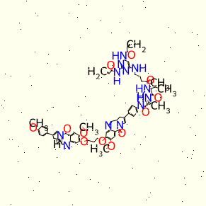 C=CC(=O)Nc1cc(NCCCC(=O)NC(C(=O)N[C@@H](C)C(=O)Nc2ccc(C3=CN4C(=O)c5cc(OC)c(OCCCOc6cc7c(cc6OC)C(=O)N6C=C(c8ccc(OC)cc8)C[C@H]6C=N7)cc5N=CC4C3)cc2)C(C)C)nc(NC(=O)C=C)n1